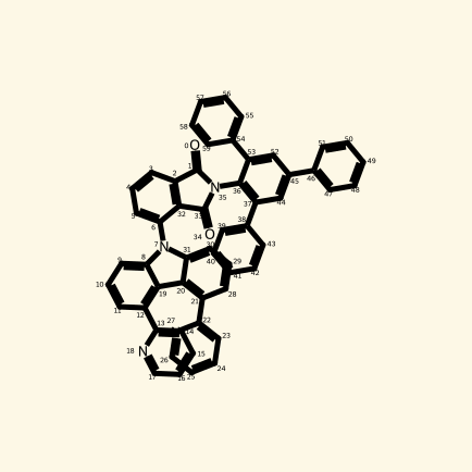 O=C1c2cccc(-n3c4cccc(-c5ccccn5)c4c4c(-c5ccccn5)cccc43)c2C(=O)N1c1c(-c2ccccc2)cc(-c2ccccc2)cc1-c1ccccc1